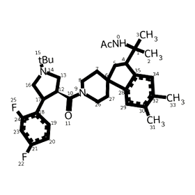 CC(=O)NC(C)(C)C1CC2(CCN(C(=O)[C@@H]3CN(C(C)(C)C)CC3c3ccc(F)cc3F)CC2)c2cc(C)c(C)cc21